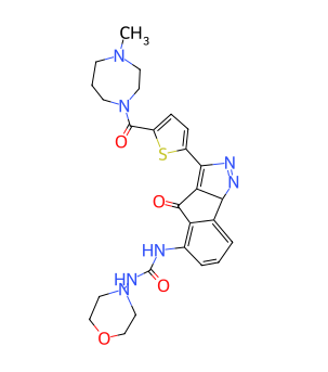 CN1CCCN(C(=O)c2ccc(C3=C4C(=O)c5c(NC(=O)NN6CCOCC6)cccc5C4N=N3)s2)CC1